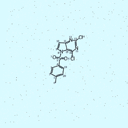 Cc1ccc(S(=O)(=O)n2ccc3nc(Cl)nc(Cl)c32)cc1